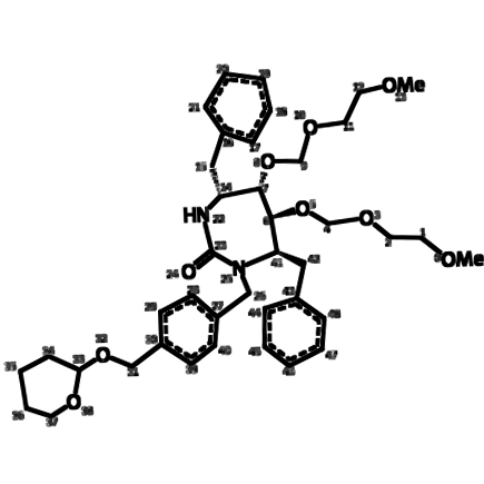 COCCOCO[C@@H]1[C@@H](OCOCCOC)[C@@H](Cc2ccccc2)NC(=O)N(Cc2ccc(COC3CCCCO3)cc2)[C@@H]1Cc1ccccc1